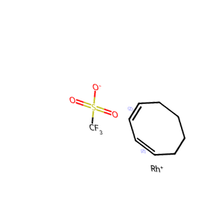 C1=C\CCCC\C=C/1.O=S(=O)([O-])C(F)(F)F.[Rh+]